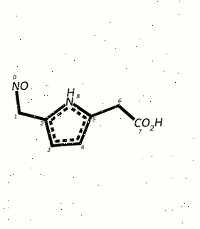 O=NCc1ccc(CC(=O)O)[nH]1